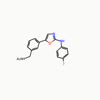 CC(=O)NCc1cccc(-c2cnc(Nc3ccc(F)cc3)o2)c1